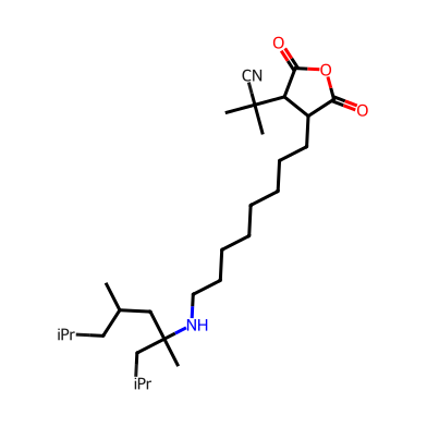 CC(C)CC(C)CC(C)(CC(C)C)NCCCCCCCCC1C(=O)OC(=O)C1C(C)(C)C#N